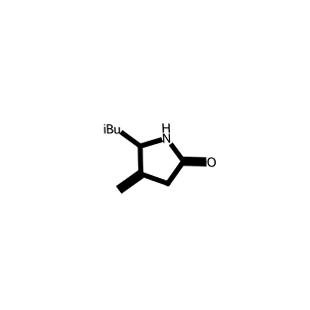 C=C1CC(=O)NC1C(C)CC